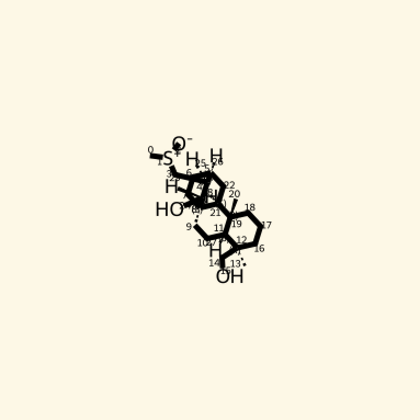 C[S+]([O-])C[C@H]1[C@H]2CC[C@@]3(CC[C@@H]4[C@](C)(CO)CCC[C@@]4(C)[C@@H]3C2)[C@@H]1O